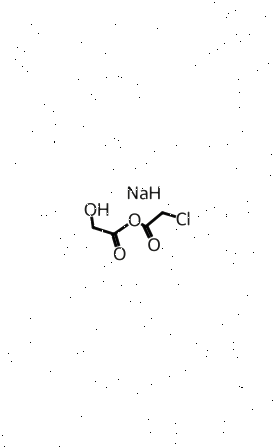 O=C(CO)OC(=O)CCl.[NaH]